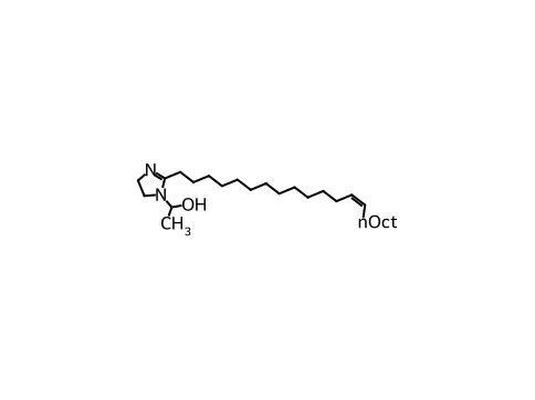 CCCCCCCC/C=C\CCCCCCCCCCCCC1=NCCN1C(C)O